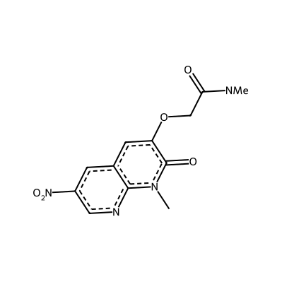 CNC(=O)COc1cc2cc([N+](=O)[O-])cnc2n(C)c1=O